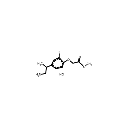 COC(=O)COc1ccc(C(C)CN)cc1F.Cl